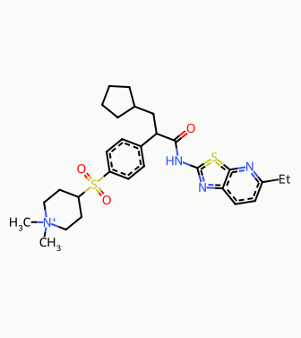 CCc1ccc2nc(NC(=O)C(CC3CCCC3)c3ccc(S(=O)(=O)C4CC[N+](C)(C)CC4)cc3)sc2n1